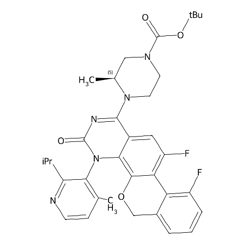 Cc1ccnc(C(C)C)c1-n1c(=O)nc(N2CCN(C(=O)OC(C)(C)C)C[C@@H]2C)c2cc(F)c3c(c21)OCc1cccc(F)c1-3